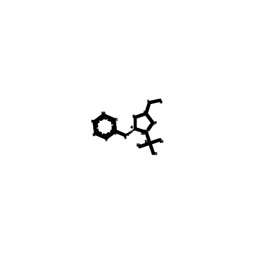 CCC1C[C@@H](Cc2ccccc2)N(C(C)(C)C)C1